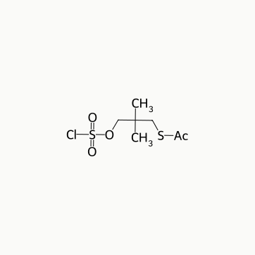 CC(=O)SCC(C)(C)COS(=O)(=O)Cl